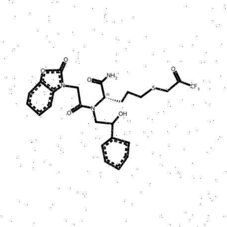 NC(=O)[C@H](CCCSCC(=O)C(F)(F)F)N(CC(O)c1ccccc1)C(=O)Cn1c(=O)oc2ccccc21